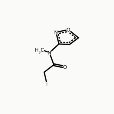 CN(C(=O)CI)c1ccon1